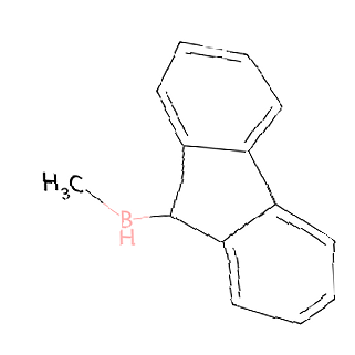 CBC1c2ccccc2-c2ccccc21